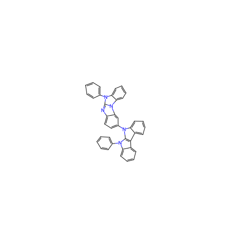 c1ccc(-n2c3ccccc3c3c4ccccc4n(-c4ccc5nc6n(-c7ccccc7)c7ccccc7n6c5c4)c32)cc1